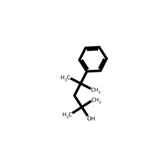 CC(C)(O)CC(C)(C)c1ccccc1